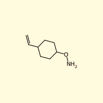 C=CC1CCC(ON)CC1